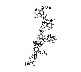 COc1cc(CN2CCN(C3CC4(C3)CN(c3ccc(C(=O)NS(=O)(=O)c5ccc(NCC6CCC(C)(O)CC6)c([N+](=O)[O-])c5)c(Oc5cnc6[nH]ccc6c5)c3)C4)[C@H](c3ccccc3C(C)C)C2)cc2c1OCCC2(C)C